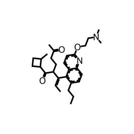 C/C=C(\c1c(CCC)ccc2nc(OCCN(C)C)ccc12)C(CCC(C)=O)C(=O)C1CCC1C